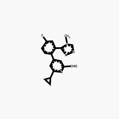 Cn1cnnc1-c1cc(F)ccc1-c1cc(C=O)nc(C2CC2)c1